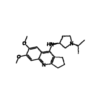 COc1cc2nc3c(c(N[C@H]4CCN(C(C)C)C4)c2cc1OC)CCC3